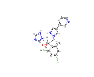 C[C@@H](n1cc(-c2cccnc2)cn1)[C@](O)(Cn1cncn1)c1ccc(F)cc1F